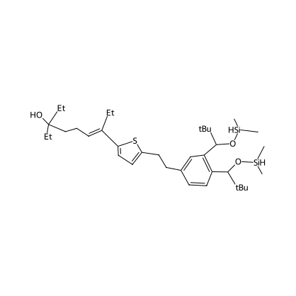 CCC(=CCCC(O)(CC)CC)c1ccc(CCc2ccc(C(O[SiH](C)C)C(C)(C)C)c(C(O[SiH](C)C)C(C)(C)C)c2)s1